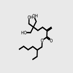 C=C(CCC(CO)(CO)CO)C(=O)OCC(CC)CCCC